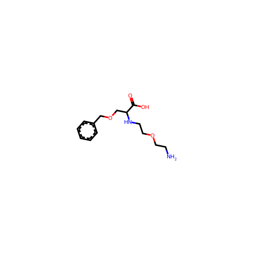 NCCOCCNC(COCc1ccccc1)C(=O)O